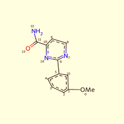 COc1cccc(-c2nccc(C(N)=O)n2)c1